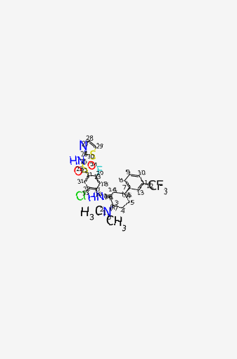 CN(C)[C@@H]1CC[C@H](c2cccc(C(F)(F)F)c2)C[C@H]1Nc1cc(F)c(S(=O)(=O)Nc2nccs2)cc1Cl